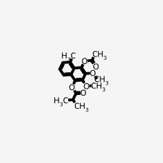 COc1c(OC)c(OC(C)=O)c2c(C)cccc2c1OC(=O)C(C)C